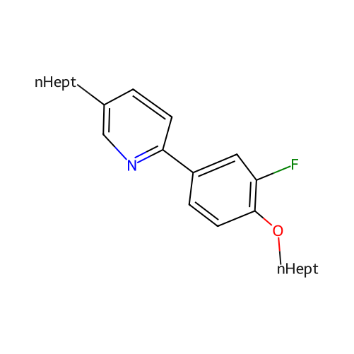 CCCCCCCOc1ccc(-c2ccc(CCCCCCC)cn2)cc1F